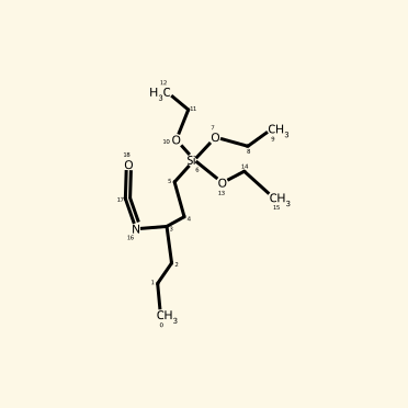 CCCC(CC[Si](OCC)(OCC)OCC)N=C=O